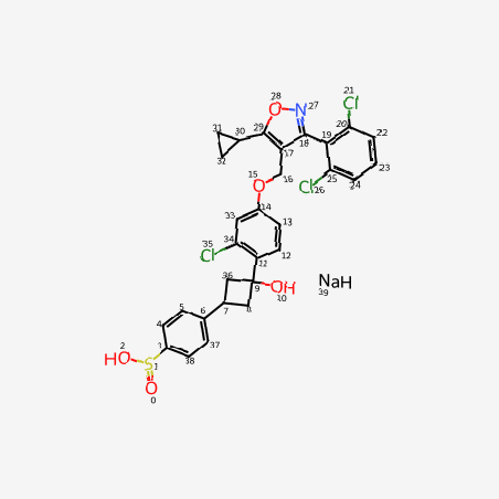 O=S(O)c1ccc(C2CC(O)(c3ccc(OCc4c(-c5c(Cl)cccc5Cl)noc4C4CC4)cc3Cl)C2)cc1.[NaH]